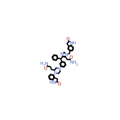 NC(=O)CCC1CN(c2cccc(C(c3ccccc3)c3ncn(Cc4ccc5c(c4)CC(=O)N5)c3CC(N)=O)c2)CCN1c1cccc2c1CC(=O)N2